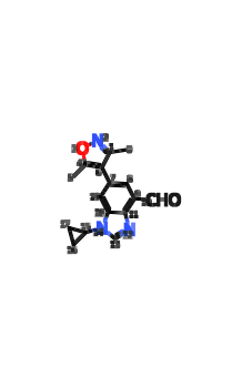 Cc1noc(C)c1-c1cc(C=O)c2ncn(C3CC3)c2c1